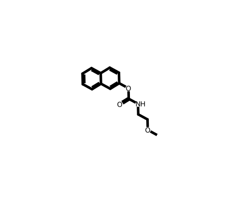 COCCNC(=O)Oc1ccc2ccccc2c1